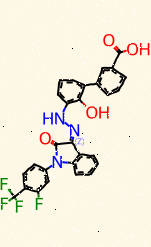 O=C(O)c1cccc(-c2cccc(N/N=C3\C(=O)N(c4ccc(C(F)(F)F)c(F)c4)c4ccccc43)c2O)c1